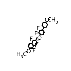 CCOc1ccc(C(F)C(F)COc2ccc(C3CCC(OC)CC3)c(F)c2F)c(F)c1F